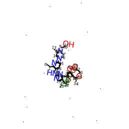 CCc1nc(N2CCN(CCO)[C@H](C)C2)ccc1Nc1ncc(C(F)(F)F)c(-c2cc3c(s2)[C@H](C)OCCS3(=O)=O)n1